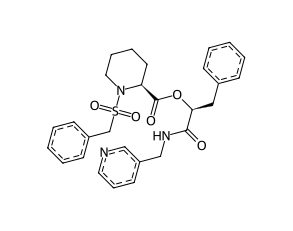 O=C(NCc1cccnc1)[C@H](Cc1ccccc1)OC(=O)[C@@H]1CCCCN1S(=O)(=O)Cc1ccccc1